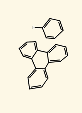 Fc1ccccc1.c1ccc2c(c1)c1ccccc1c1ccccc21